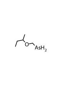 CCC(C)OC[AsH2]